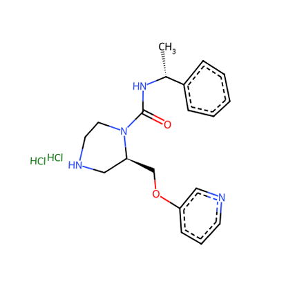 C[C@@H](NC(=O)N1CCNC[C@@H]1COc1cccnc1)c1ccccc1.Cl.Cl